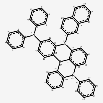 c1ccc(N(c2ccccc2)c2ccc3c(c2)N(c2ccc4ccccc4c2)c2cccc4c2B3c2ccccc2N4c2ccccc2)cc1